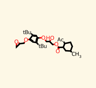 CC(=O)C1CCC(C)CC1C(=O)OCC(O)COc1cc(C(C)(C)C)c(OCC2CO2)cc1C(C)(C)C